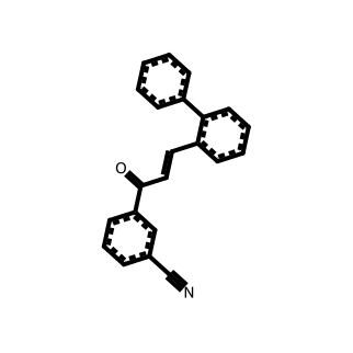 N#Cc1cccc(C(=O)C=Cc2ccccc2-c2ccccc2)c1